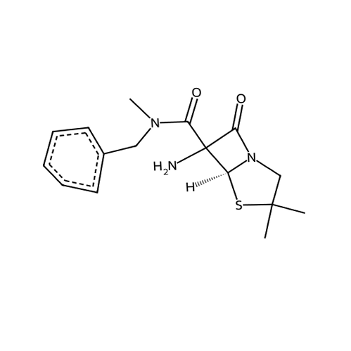 CN(Cc1ccccc1)C(=O)C1(N)C(=O)N2CC(C)(C)S[C@H]21